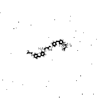 CC(CC(O)COc1ccc(Cc2ccc(OC(C)(C)CC3CO3)cc2)cc1)Oc1ccc(Cc2ccc(OCC3CO3)cc2)cc1